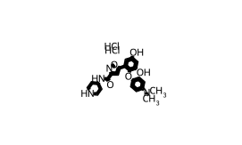 CN(C)c1ccc(Oc2c(O)cc(O)cc2-c2cc(C(=O)NC3CCNCC3)no2)cc1.Cl.Cl